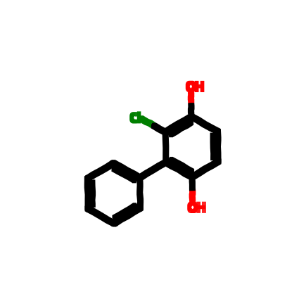 Oc1ccc(O)c(-c2ccccc2)c1Cl